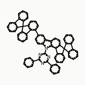 c1ccc(-c2nc(-c3ccccc3)nc(-n3c4ccc(-c5cccc6c5-c5ccccc5C65c6ccccc6-c6ccccc65)cc4c4ccc5c(c43)-c3ccccc3C53c4ccccc4-c4ccccc43)n2)cc1